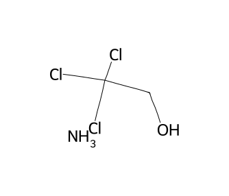 N.OCC(Cl)(Cl)Cl